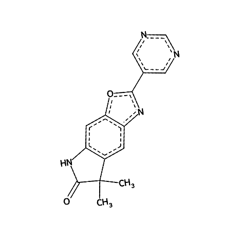 CC1(C)C(=O)Nc2cc3oc(-c4cncnc4)nc3cc21